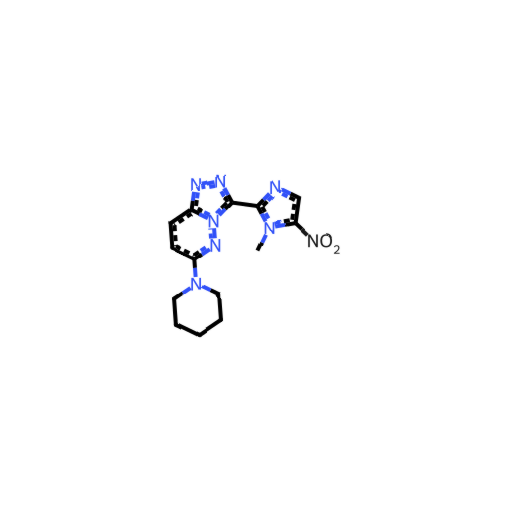 Cn1c([N+](=O)[O-])cnc1-c1nnc2ccc(N3CCCCC3)nn12